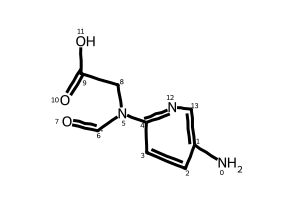 Nc1ccc(N([C]=O)CC(=O)O)nc1